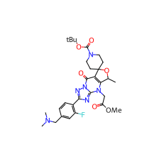 COC(=O)Cn1c2c(c(=O)n3nc(-c4ccc(CN(C)C)cc4F)nc13)C1(CCN(C(=O)OC(C)(C)C)CC1)OC2C